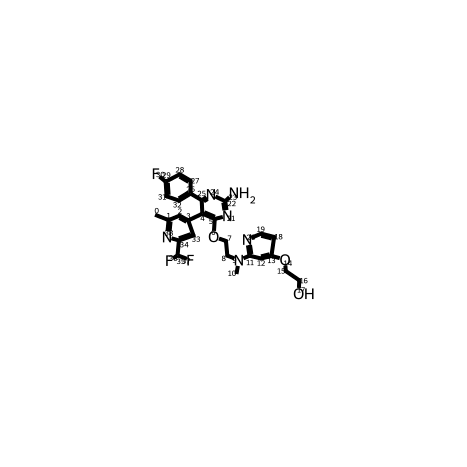 Cc1cc(-c2c(OCCN(C)c3cc(OCCO)ccn3)nc(N)nc2-c2ccc(F)cc2)cc(C(F)F)n1